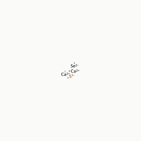 [Ca+2].[Ca+2].[S-2].[Se-2]